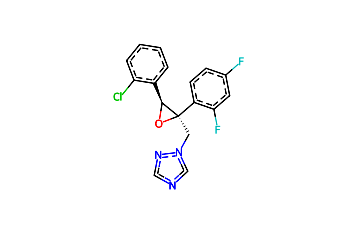 Fc1ccc([C@@]2(Cn3cncn3)O[C@H]2c2ccccc2Cl)c(F)c1